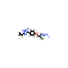 Cn1nc(C2(F)CC2)nc1-c1ccc(OC/C(=C/F)CN)cc1